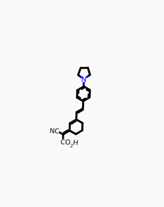 N#C/C(C(=O)O)=C1C=C(/C=C/c2ccc(N3CCCC3)cc2)CCC\1